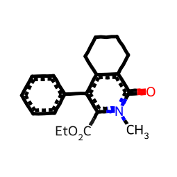 CCOC(=O)c1c(-c2ccccc2)c2c(c(=O)n1C)CCCC2